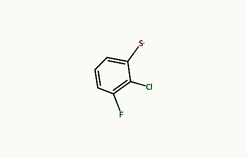 Fc1cccc([S])c1Cl